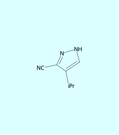 CC(C)c1c[nH]nc1C#N